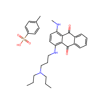 CCCN(CCC)CCCNc1ccc(NC)c2c1C(=O)c1ccccc1C2=O.Cc1ccc(S(=O)(=O)O)cc1